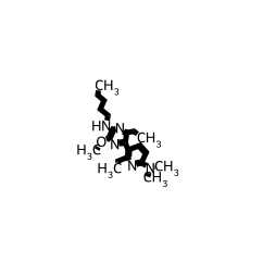 CCCCCNc1nc(CC)c(-c2ccc(N(C)C)nc2CC)nc1OC